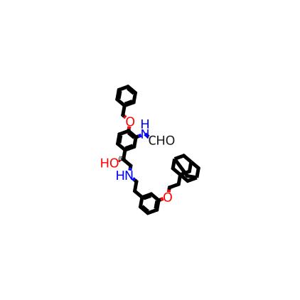 O=CNc1cc([C@@H](O)CNCCc2cccc(OCCC34CC5CC(CC(C5)C3)C4)c2)ccc1OCc1ccccc1